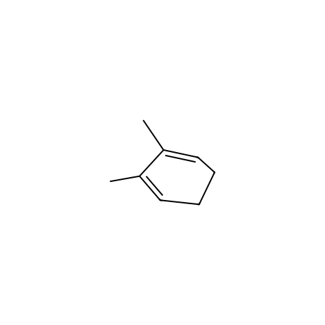 CC1=CCCC=C1C